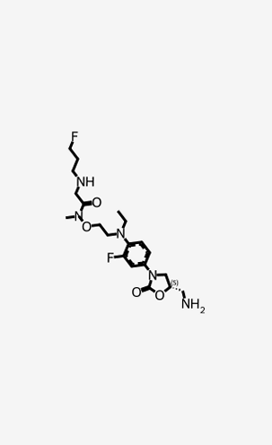 CCN(CCON(C)C(=O)CNCCCF)c1ccc(N2C[C@H](CN)OC2=O)cc1F